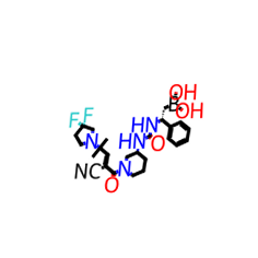 CC(C)(C=C(C#N)C(=O)N1CCC[C@H](NC(=O)N[C@H](CB(O)O)c2ccccc2)C1)N1CCC(F)(F)C1